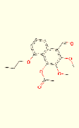 CCCOc1cccc2c(C=O)c(OC)c(OC)c(OC(C)=O)c12